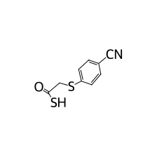 N#Cc1ccc(SCC(=O)S)cc1